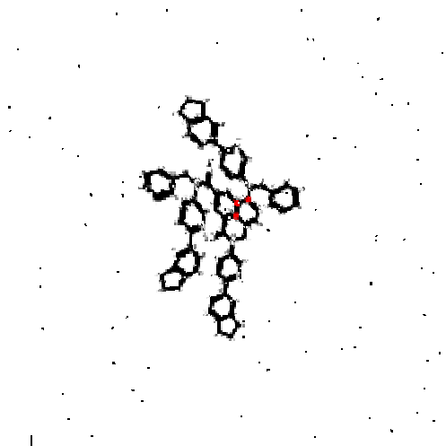 O=C(c1cc(C(=O)N(Cc2ccccc2)c2ccc(-c3ccc4c(c3)CCC4)nc2)cc(C(=O)N(Cc2ccccc2)c2ccc(-c3ccc4c(c3)CCC4)nc2)c1)N(Cc1ccccc1)c1ccc(C2=CC=C3CCCC3C2)nc1